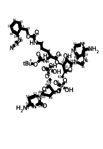 CC(C)(C)OC(=O)NC(CCCNC(=O)OCc1ccccc1N=[N+]=[N-])C(=O)O[C@H]1[C@@H](O)[C@H](n2cnc3c(N)ncnc32)O[C@H]1COP(=O)(O)O[C@H]1C[C@H](n2ccc(N)nc2=O)O[C@@H]1COP(=O)(O)O